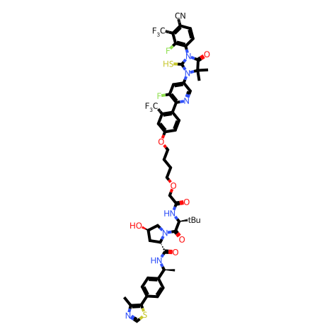 Cc1ncsc1-c1ccc([C@H](C)NC(=O)[C@@H]2C[C@@H](O)CN2C(=O)[C@@H](NC(=O)COCCCCOc2ccc(-c3ncc(N4C(S)N(c5ccc(C#N)c(C(F)(F)F)c5F)C(=O)C4(C)C)cc3F)c(C(F)(F)F)c2)C(C)(C)C)cc1